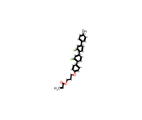 C=CC(=O)OCCCOc1ccc(-c2ccc(-c3ccc(-c4ccc(CCC)cc4)cc3F)cc2F)cc1